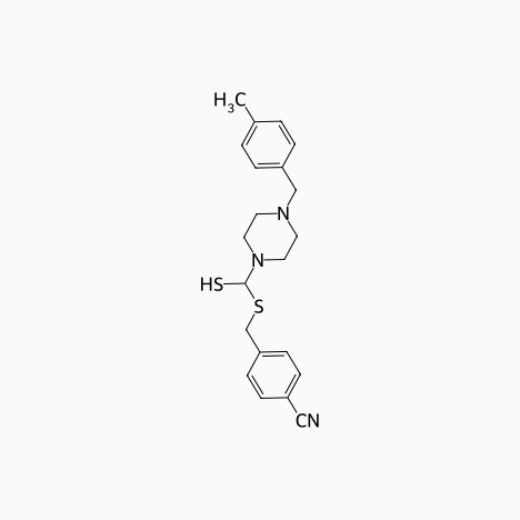 Cc1ccc(CN2CCN(C(S)SCc3ccc(C#N)cc3)CC2)cc1